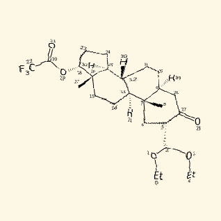 CCOC(OCC)[C@@H]1C[C@@]2(C)[C@@H](CC[C@@H]3[C@@H]2CC[C@]2(C)[C@H](OC(=O)C(F)(F)F)CC[C@@H]32)CC1=O